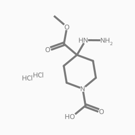 COC(=O)C1(NN)CCN(C(=O)O)CC1.Cl.Cl